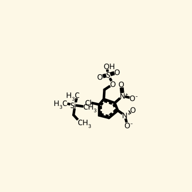 CC[Si](C)(C)C.O=[N+]([O-])c1ccc(Cl)c(COS(=O)(=O)O)c1[N+](=O)[O-]